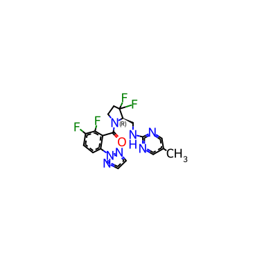 Cc1cnc(NC[C@H]2N(C(=O)c3c(-n4nccn4)ccc(F)c3F)CCC2(F)F)nc1